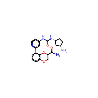 NC(=O)C1COc2cccc(-c3cc(NC(=O)N[C@@H]4CC[C@H](N)C4)ccn3)c2O1